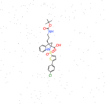 CC(C)(C)OC(=O)NCCC[C@@]1(c2ccccc2)C[C@]1(NS(=O)(=O)c1ccc(-c2ccc(Cl)cc2)s1)C(=O)O